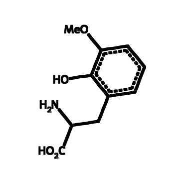 COc1cccc(CC(N)C(=O)O)c1O